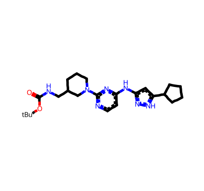 CC(C)(C)OC(=O)NCC1CCCN(c2nccc(Nc3cc(C4CCCC4)[nH]n3)n2)C1